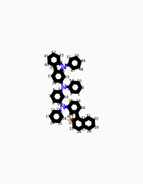 c1ccc(N(c2cccc(N(c3ccccc3)c3cccc4c3sc3ccc5ccccc5c34)c2)c2ccc3c4ccccc4n(-c4ccccc4)c3c2)cc1